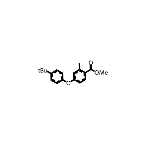 COC(=O)c1ccc(Oc2ccc(C(C)(C)C)cc2)cc1C